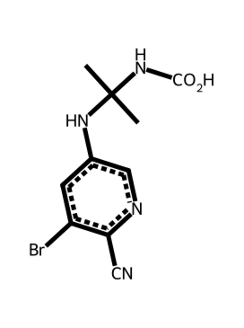 CC(C)(NC(=O)O)Nc1cnc(C#N)c(Br)c1